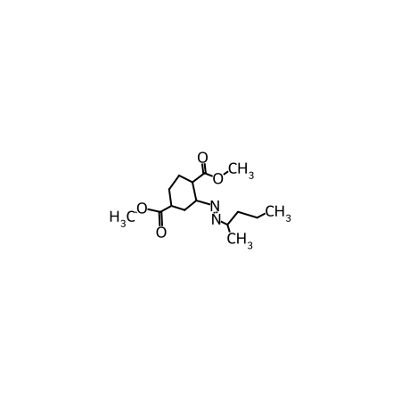 CCCC(C)N=NC1CC(C(=O)OC)CCC1C(=O)OC